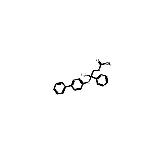 CC(=O)OCC(C)(Oc1ccc(-c2ccccc2)cc1)c1ccccc1